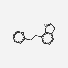 C1=Nc2c(cccc2CCc2ccccc2)C1